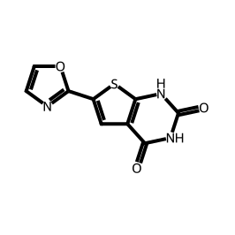 O=c1[nH]c(=O)c2cc(-c3ncco3)sc2[nH]1